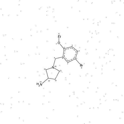 CCOc1ccc(Br)cc1CN1CCC(N)C1